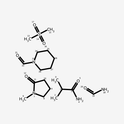 CC(C)C(N)=O.CN1CCCC1=O.CS(C)(=O)=O.NC=O.O=CN1CCCCC1